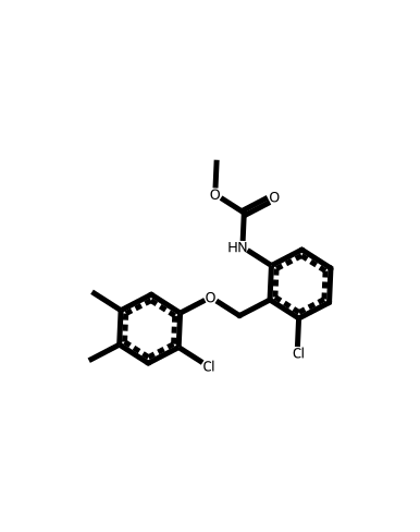 COC(=O)Nc1cccc(Cl)c1COc1cc(C)c(C)cc1Cl